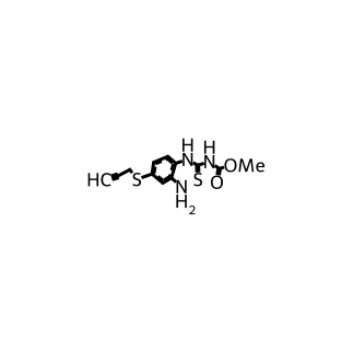 C#CCSc1ccc(NC(=S)NC(=O)OC)c(N)c1